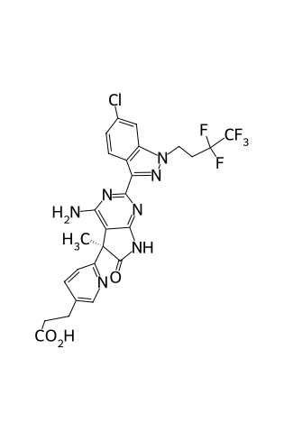 C[C@@]1(c2ccc(CCC(=O)O)cn2)C(=O)Nc2nc(-c3nn(CCC(F)(F)C(F)(F)F)c4cc(Cl)ccc34)nc(N)c21